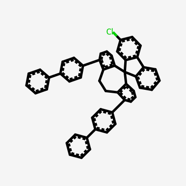 Clc1ccc2c(c1)C1(c3ccccc3-2)c2cccc(-c3ccc(-c4ccccc4)cc3)c2CCc2c(-c3ccc(-c4ccccc4)cc3)cccc21